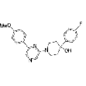 COc1ccc(-c2cncc(N3CCC(O)(c4ccc(F)cc4)CC3)n2)cc1